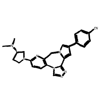 CN(C)[C@@H]1CCN(c2ccc3c(n2)Cn2cc(-c4ccc(C#N)cc4)cc2-c2nncn2-3)C1